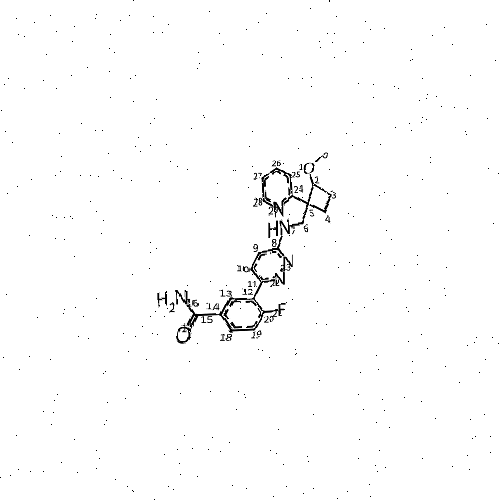 COC1CCC1(CNc1ccc(-c2cc(C(N)=O)ccc2F)nn1)c1ccccn1